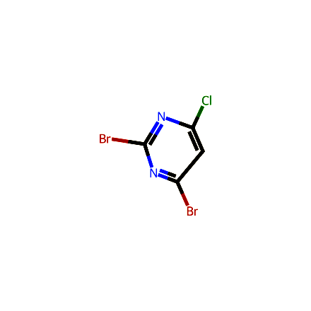 Clc1cc(Br)nc(Br)n1